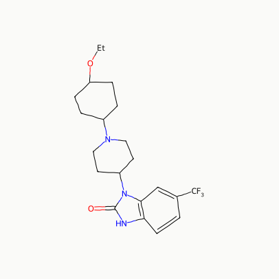 CCOC1CCC(N2CCC(n3c(=O)[nH]c4ccc(C(F)(F)F)cc43)CC2)CC1